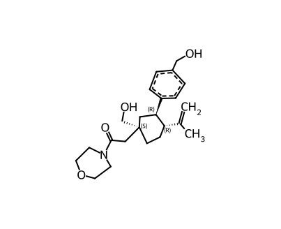 C=C(C)[C@@H]1CC[C@@](CO)(CC(=O)N2CCOCC2)C[C@H]1c1ccc(CO)cc1